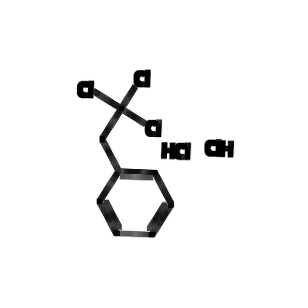 Cl.Cl.ClC(Cl)(Cl)Cc1ccccc1